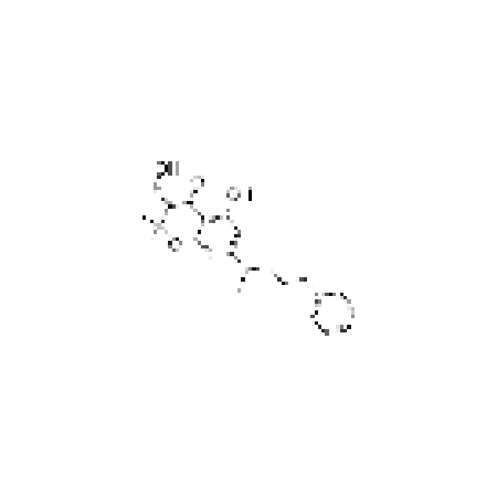 CC(CCCc1ccccc1)c1cc(O)c2c(c1)OC(C)(C)C(=CO)C2=O